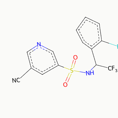 N#Cc1cncc(S(=O)(=O)NC(c2ccccc2F)C(F)(F)F)c1